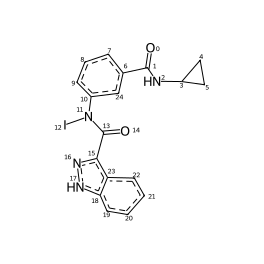 O=C(NC1CC1)c1cccc(N(I)C(=O)c2n[nH]c3ccccc23)c1